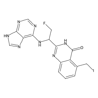 O=c1[nH]c(C(CF)Nc2ncnc3[nH]cnc23)nc2cccc(CI)c12